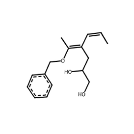 C/C=C\C(CC(O)CO)=C(/C)OCc1ccccc1